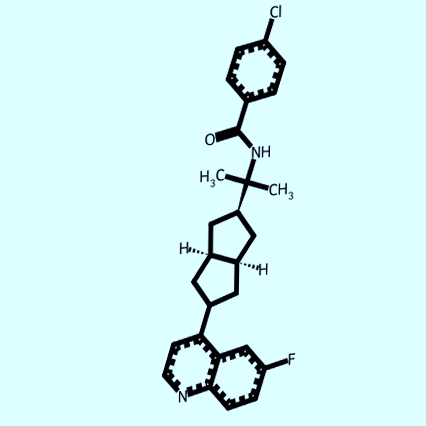 CC(C)(NC(=O)c1ccc(Cl)cc1)[C@H]1C[C@H]2CC(c3ccnc4ccc(F)cc34)C[C@H]2C1